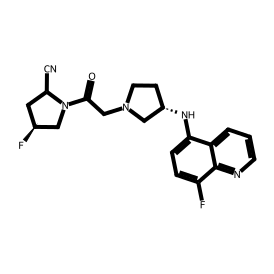 N#CC1C[C@H](F)CN1C(=O)CN1CC[C@H](Nc2ccc(F)c3ncccc23)C1